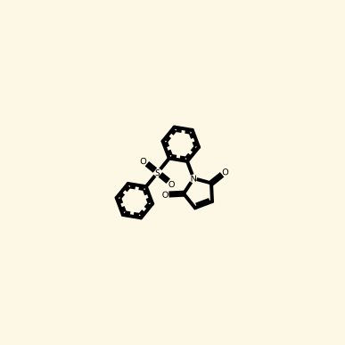 O=C1C=CC(=O)N1c1ccccc1S(=O)(=O)c1ccccc1